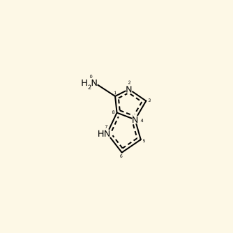 Nc1ncn2cc[nH]c12